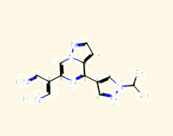 CCC(CC)n1cc(-c2nc(/C(C=N)=C/N)cn3nccc23)cn1